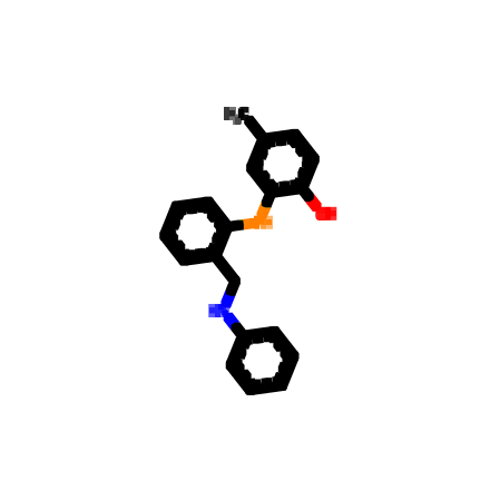 Cc1ccc(O)c(Pc2ccccc2CNc2ccccc2)c1